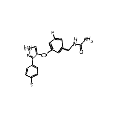 NC(=O)NCc1cc(F)cc(Oc2c[nH]nc2-c2ccc(F)cc2)c1